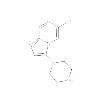 Clc1cn2c(N3CCNCC3)cnc2cn1